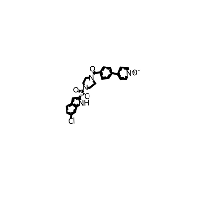 O=C(c1ccc(-c2cc[n+]([O-])cc2)cc1)N1CCN(S(=O)(=O)c2cc3ccc(Cl)cc3[nH]2)CC1